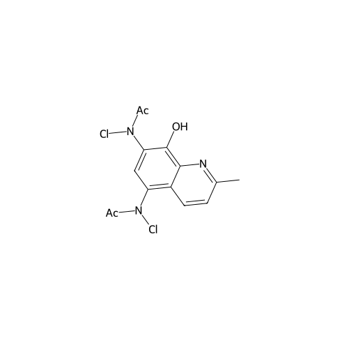 CC(=O)N(Cl)c1cc(N(Cl)C(C)=O)c2ccc(C)nc2c1O